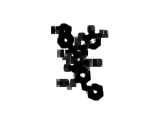 CCN1CCN(C(=O)NC(N)(C(=O)N[C@]2(NC=O)C(=O)N3C(C(=O)O)=C(C[n+]4ccccc4)CS[C@H]32)c2ccc3[nH]ccc3c2)C(=O)C1=O